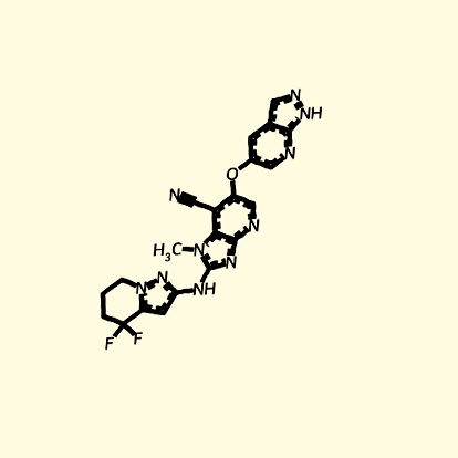 Cn1c(Nc2cc3n(n2)CCCC3(F)F)nc2ncc(Oc3cnc4[nH]ncc4c3)c(C#N)c21